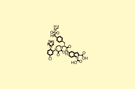 CCNS(=O)(=O)Nc1ccc(C[C@@H](C(=O)Nc2ccc3c(c2)cc(C(=O)O)n3C(=O)O)N2CCN(c3cc(Cl)ccc3-n3cnnn3)C(=O)C2=O)cc1